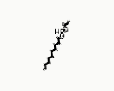 CCCCCCCCCCOPOCC